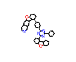 c1ccc(-c2nc(-c3ccc(-c4cccc5oc6cc7ccncc7cc6c45)cc3)nc(-c3cccc4oc5ccccc5c34)n2)cc1